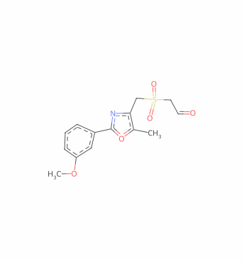 COc1cccc(-c2nc(CS(=O)(=O)CC=O)c(C)o2)c1